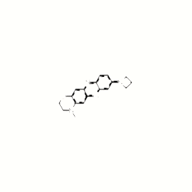 CN1CCOc2cc3nc4ccc(=[N+]5CCC5)cc-4oc3cc21